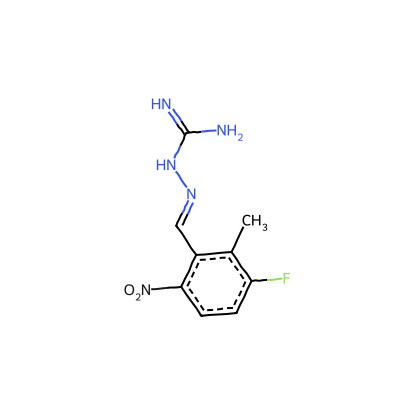 Cc1c(F)ccc([N+](=O)[O-])c1C=NNC(=N)N